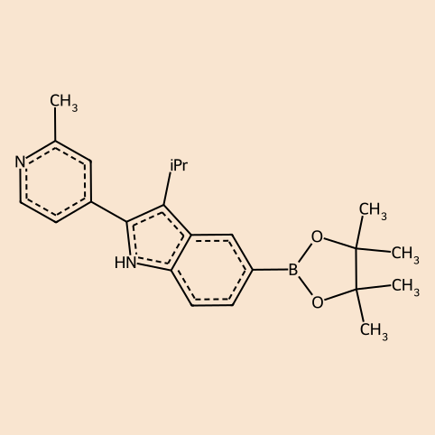 Cc1cc(-c2[nH]c3ccc(B4OC(C)(C)C(C)(C)O4)cc3c2C(C)C)ccn1